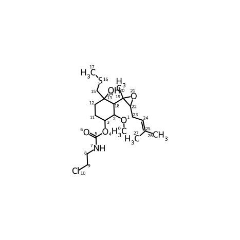 COC1C(OC(=O)NCCCl)CCC(O)(CSC)C1C1(C)OC1CC=C(C)C